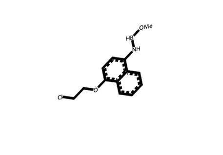 COBNc1ccc(OCCCl)c2ccccc12